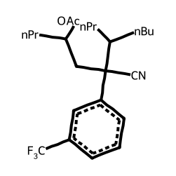 CCCCC(CCC)C(C#N)(CC(CCC)OC(C)=O)c1cccc(C(F)(F)F)c1